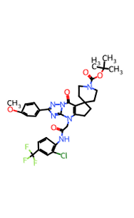 COc1ccc(-c2nc3n(CC(=O)Nc4ccc(C(F)(F)F)cc4Cl)c4c(c(=O)n3n2)C2(CC4)CCN(C(=O)OC(C)(C)C)CC2)cc1